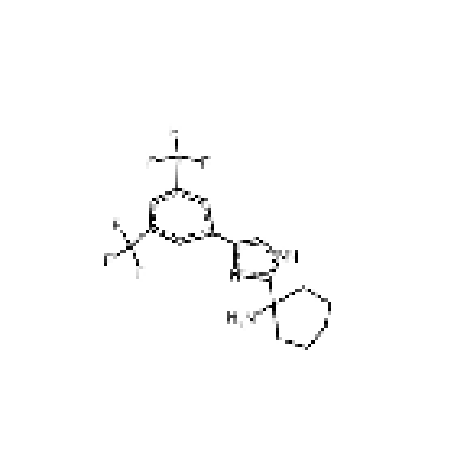 NC1(c2nc(-c3cc(C(F)(F)F)cc(C(F)(F)F)c3)c[nH]2)CCCCC1